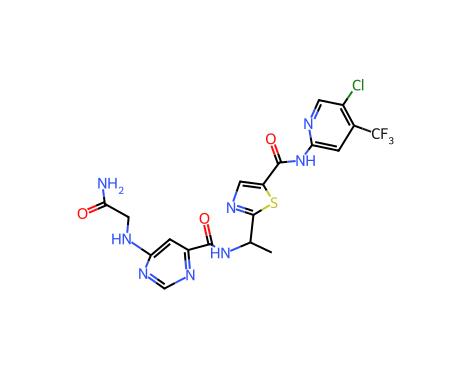 CC(NC(=O)c1cc(NCC(N)=O)ncn1)c1ncc(C(=O)Nc2cc(C(F)(F)F)c(Cl)cn2)s1